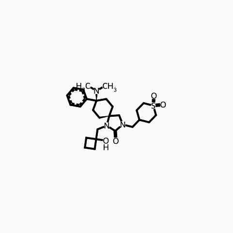 CN(C)[C@]1(c2ccccc2)CC[C@@]2(CC1)CN(CC1CCS(=O)(=O)CC1)C(=O)N2CC1(O)CCC1